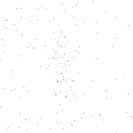 Cc1cc2c(cnn2C(C)c2cccc3c2CNCC3)cc1S(=O)(=O)Nc1cccc(F)n1